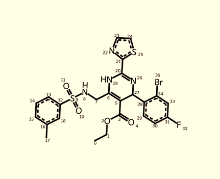 CCOC(=O)C1=C(CNS(=O)(=O)c2cccc(C)c2)NC(c2nccs2)=NC1c1ccc(F)cc1Br